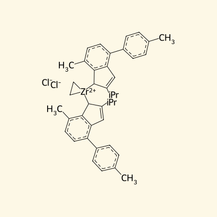 Cc1ccc(-c2ccc(C)c3c2C=C(C(C)C)[CH]3[Zr+2]2([CH]3C(C(C)C)=Cc4c(-c5ccc(C)cc5)ccc(C)c43)[CH2][CH2]2)cc1.[Cl-].[Cl-]